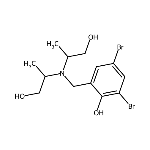 CC(CO)N(Cc1cc(Br)cc(Br)c1O)C(C)CO